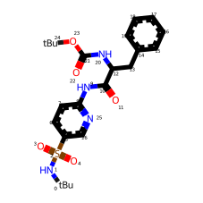 CC(C)(C)NS(=O)(=O)c1ccc(NC(=O)C(Cc2ccccc2)NC(=O)OC(C)(C)C)nc1